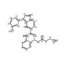 O=C(Nc1ccccc1CCNCCO)c1ccn2ncc(-c3cccc(Cl)c3)c2n1